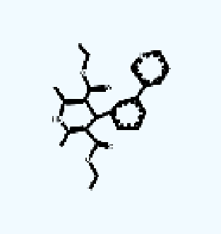 CCOC(=O)C1=C(C)NC(C)=C(C(=O)OCC)C1c1cccc(-c2cccnc2)c1